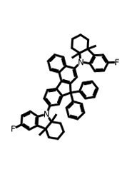 CC12CCCCC1(C)N(c1ccc3c(c1)C(c1ccccc1)(c1ccccc1)c1cc(N4c5ccc(F)cc5C5(C)CCCCC45C)c4ccccc4c1-3)c1ccc(F)cc12